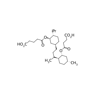 CC(C)[C@@H]1CC[C@@H](CCC(C)[C@@H]2CC[C@@H](C)C[C@H]2OC(=O)CCC(=O)O)C[C@H]1OC(=O)CCCC(=O)O